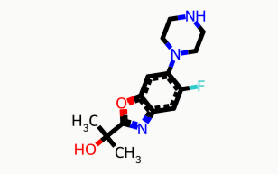 CC(C)(O)c1nc2cc(F)c(N3CCNCC3)cc2o1